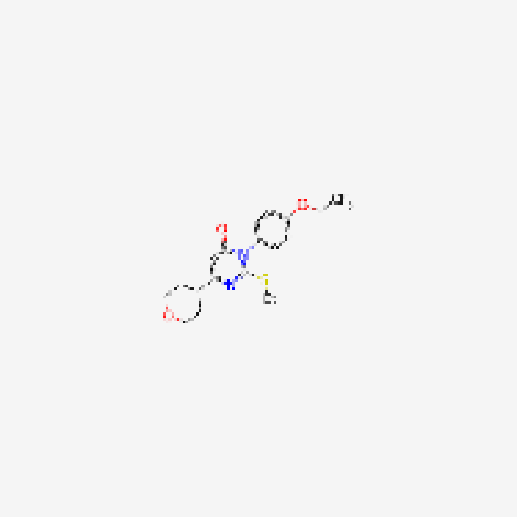 CCSc1nc(C2CCOCC2)cc(=O)n1-c1ccc(OCC(F)(F)F)cc1